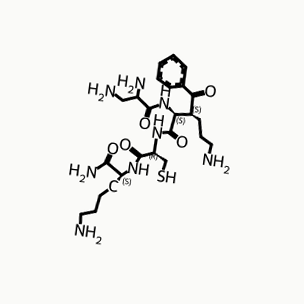 NCCCC[C@H](NC(=O)[C@H](CS)NC(=O)[C@@H](NC(=O)C(N)CN)[C@H](CCCN)C(=O)c1ccccc1)C(N)=O